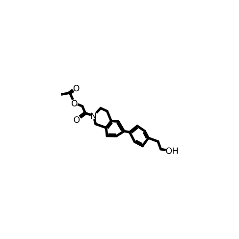 CC(=O)OCC(=O)N1CCc2cc(-c3ccc(CCO)cc3)ccc2C1